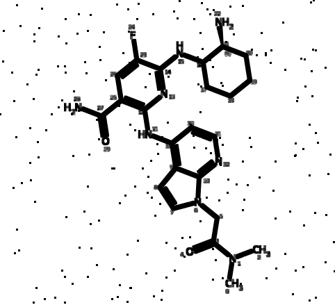 CN(C)C(=O)Cn1ccc2c(Nc3nc(NC4CCCC[C@@H]4N)c(F)cc3C(N)=O)ccnc21